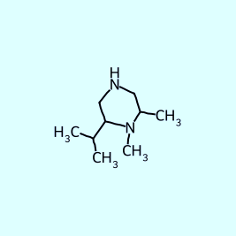 CC(C)C1CNCC(C)N1C